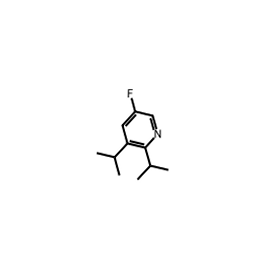 CC(C)c1cc(F)cnc1C(C)C